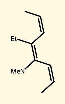 C\C=C/C(CC)=C(\C=C/C)NC